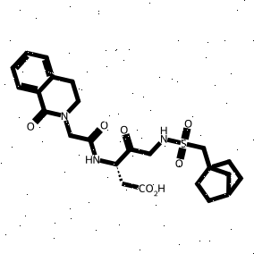 O=C(O)C[C@H](NC(=O)CN1CCc2ccccc2C1=O)C(=O)CNS(=O)(=O)CC12CCC(CC1)C2